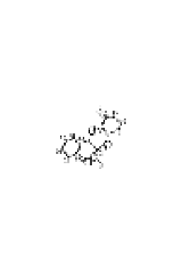 COC(=O)C(Oc1ccccc1C)c1ccccc1Cl